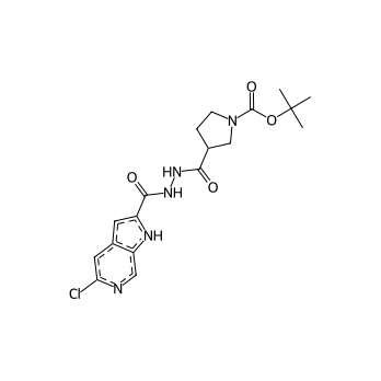 CC(C)(C)OC(=O)N1CCC(C(=O)NNC(=O)c2cc3cc(Cl)ncc3[nH]2)C1